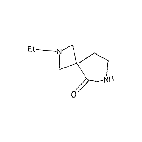 CCN1CC2(CCNC2=O)C1